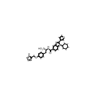 O=C(N[C@@H](Cc1ccc(OCc2nnn[nH]2)cc1)C(=O)O)c1ccc2c(c1)nc(-c1ccoc1)n2C1CCCCC1